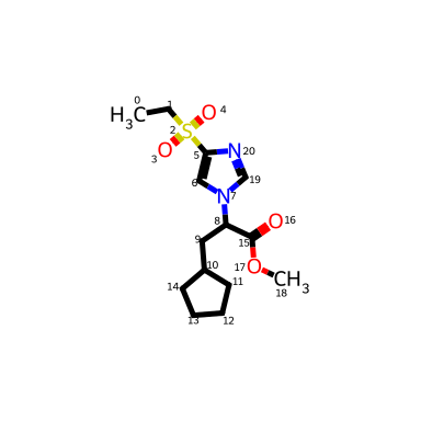 CCS(=O)(=O)c1cn(C(CC2CCCC2)C(=O)OC)cn1